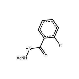 CC(=O)NNC(=O)c1ccccc1Cl